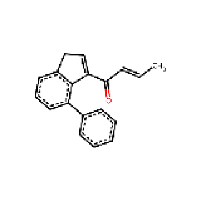 C/C=C/C(=O)C1=CCc2cccc(-c3ccccc3)c21